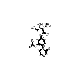 CC(C)CN(C)[C@H](CN)C(=O)Nc1ccc(N2CCOCC2=O)c(OC(F)F)c1